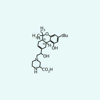 CC(C)(C)c1cc(O)c2c(c1)OC(C)(C)[C@@H]1CC=C(C(O)CN3CCNC(C(=O)O)C3)C[C@@H]21